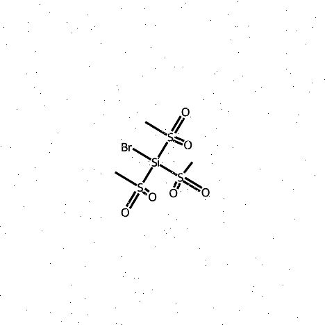 CS(=O)(=O)[Si](Br)(S(C)(=O)=O)S(C)(=O)=O